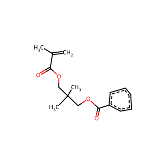 C=C(C)C(=O)OCC(C)(C)COC(=O)c1ccccc1